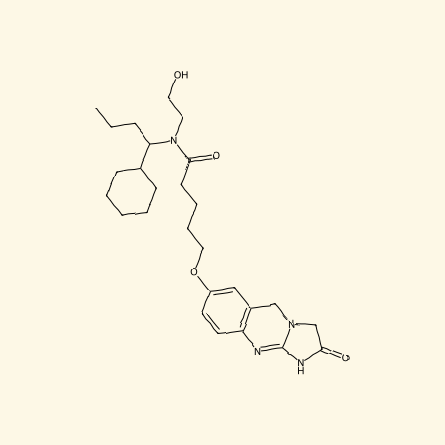 CCCC(C1CCCCC1)N(CCO)C(=O)CCCCOc1ccc2c(c1)CN1CC(=O)NC1=N2